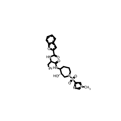 CC(C)CC(NC(=O)c1cc2ccccc2o1)C(=O)NC1CCCN(S(=O)(=O)c2cn(C)cn2)C[C@@H]1O